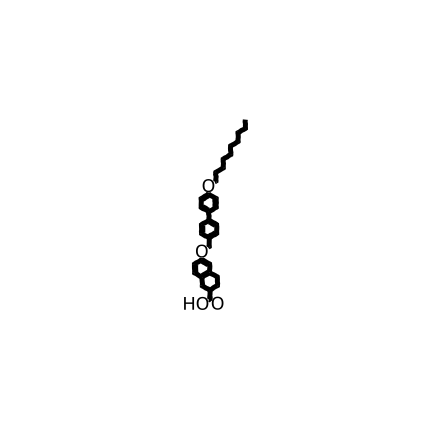 CCCCCCCCCCOc1ccc(-c2ccc(COc3ccc4c(c3)CCC(C(=O)O)C4)cc2)cc1